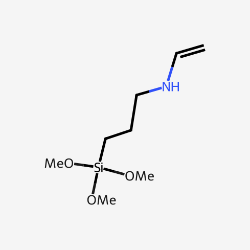 C=CNCCC[Si](OC)(OC)OC